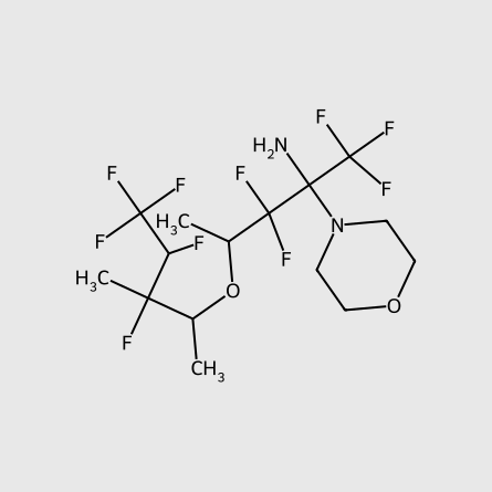 CC(OC(C)C(F)(F)C(N)(N1CCOCC1)C(F)(F)F)C(C)(F)C(F)C(F)(F)F